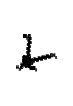 CCCCCCCCCCCC[SH](CCCCCCCCCCCC)(OC(=O)CC)(OC(=O)CC)S(=O)(=O)O